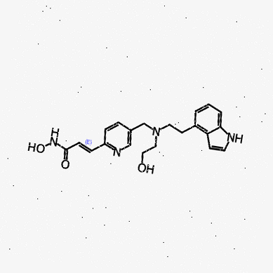 O=C(/C=C/c1ccc(CN(CCO)CCc2cccc3[nH]ccc23)cn1)NO